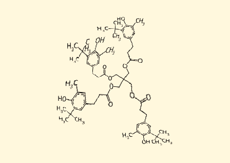 Cc1cc(CCC(=O)OCC(COC(=O)CCc2cc(C)c(O)c(C(C)(C)C)c2)(COC(=O)CCc2cc(C)c(O)c(C(C)(C)C)c2)COC(=O)CCc2cc(C)c(O)c(C(C)(C)C)c2)cc(C(C)(C)C)c1O